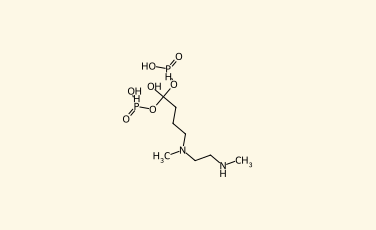 CNCCN(C)CCCC(O)(O[PH](=O)O)O[PH](=O)O